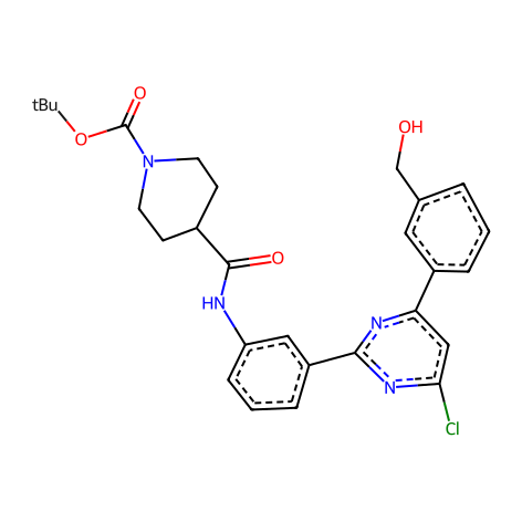 CC(C)(C)OC(=O)N1CCC(C(=O)Nc2cccc(-c3nc(Cl)cc(-c4cccc(CO)c4)n3)c2)CC1